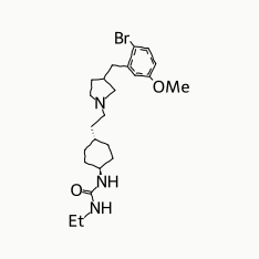 CCNC(=O)N[C@H]1CC[C@H](CCN2CCC(Cc3cc(OC)ccc3Br)C2)CC1